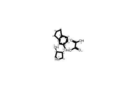 O=C(O)C(=O)O.O[C@@H]1CNC[C@H]1Oc1ccc2c(c1)CCC2